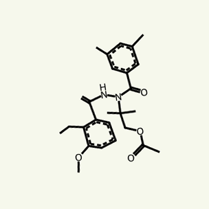 C=C(NN(C(=O)c1cc(C)cc(C)c1)C(C)(C)COC(C)=O)c1cccc(OC)c1CC